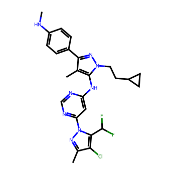 CNc1ccc(-c2nn(CCC3CC3)c(Nc3cc(-n4nc(C)c(Cl)c4C(F)F)ncn3)c2C)cc1